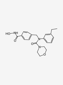 CCc1cccc(N(Cc2ccc(C(=O)NO)cc2)C(=O)N2CCOCC2)c1